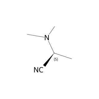 C[C@@H](C#N)N(C)C